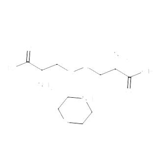 C1COCCN1.N[C@@H](CSSC[C@H](N)C(=O)O)C(=O)O